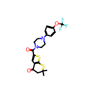 CC1(C)CC(=O)c2cc(C(=O)N3CCN(c4ccc(OC(F)(F)F)cc4)CC3)sc2S1